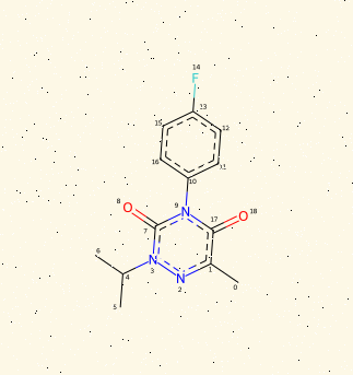 Cc1nn(C(C)C)c(=O)n(-c2ccc(F)cc2)c1=O